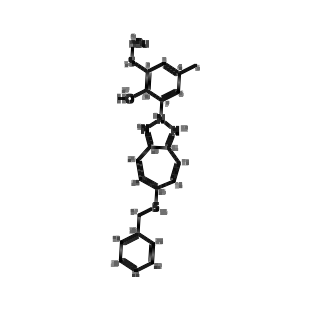 CCCCSc1cc(C)cc(-n2nc3c(n2)C=CC(SCc2ccccc2)=C=C3)c1O